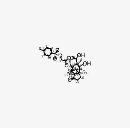 Cc1ccc(S(=O)(=O)OCC(=O)O[C@@H]2C[C@](C)(C(=O)O)[C@@H](O)[C@H](C)[C@]34CCC(=O)[C@H]3[C@@]2(C)C(C)CC4)cc1